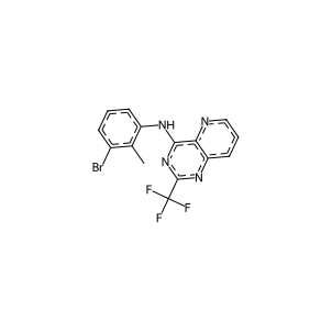 Cc1c(Br)cccc1Nc1nc(C(F)(F)F)nc2cccnc12